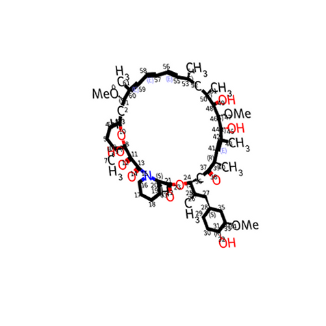 CO[C@H]1C[C@@H]2CC[C@@H](C)[C@@](O)(O2)C(=O)C(=O)N2CCCC[C@H]2C(=O)O[C@H]([C@H](C)C[C@@H]2CC[C@@H](O)[C@H](OC)C2)CC(=O)[C@H](C)/C=C(\C)[C@@H](O)[C@@H](OC)C(O)[C@H](C)C[C@H](C)/C=C/C=C/C=C/1C